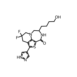 O=C1NC(CCCCO)CN2CC(F)(F)Cc3c(-c4cn[nH]c4)sc1c32